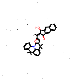 C/C(=C1/C(=O)c2cc3ccccc3cc2C1O)c1cc2c(o1)N1c3ccccc3C(C)(C)c3cccc(c31)C2(C)C